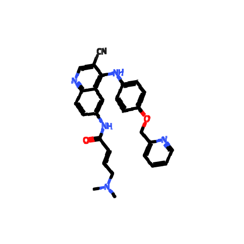 CN(C)CC=CC(=O)Nc1ccc2ncc(C#N)c(Nc3ccc(OCc4ccccn4)cc3)c2c1